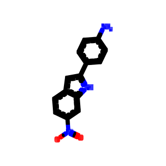 Nc1ccc(-c2cc3ccc([N+](=O)[O-])cc3[nH]2)cc1